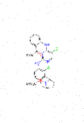 CCOC(=O)ON1C2CCC1c1c(ccc(Nc3ncc(Cl)c(Nc4ccccc4C(=O)NC)n3)c1Cl)C2